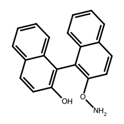 NOc1ccc2ccccc2c1-c1c(O)ccc2ccccc12